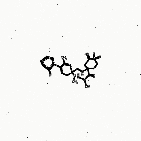 COC1(CNC2(C(=O)N(O)O)CCS(=O)(=O)C(=O)C2)C=C(C)C(c2ccccc2F)=CC1